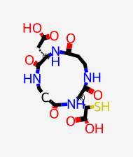 O=C(O)C[C@@H]1NC(=O)CCNC(=O)[C@H](C(S)C(=O)O)NC(=O)CCNC1=O